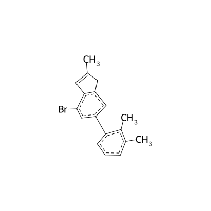 CC1=Cc2c(Br)cc(-c3cccc(C)c3C)cc2C1